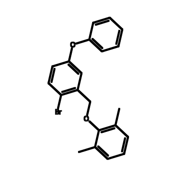 Cc1cccc(C)c1OCc1cc(Oc2ccccc2)ccc1Br